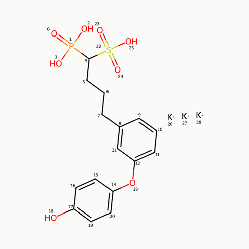 O=P(O)(O)C(CCCc1cccc(Oc2ccc(O)cc2)c1)S(=O)(=O)O.[K].[K].[K]